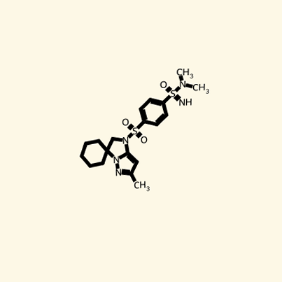 Cc1cc2n(n1)C1(CCCCC1)CN2S(=O)(=O)c1ccc(S(=N)(=O)N(C)C)cc1